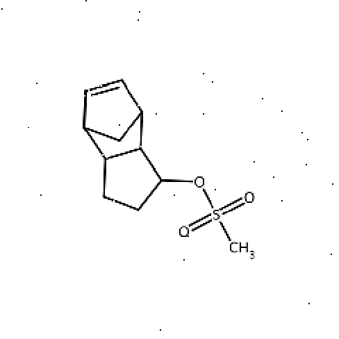 CS(=O)(=O)OC1CCC2C3C=CC(C3)C12